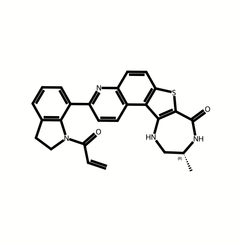 C=CC(=O)N1CCc2cccc(-c3ccc4c(ccc5sc6c(c54)NC[C@@H](C)NC6=O)n3)c21